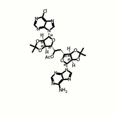 CC(=O)OC(C[C@H]1O[C@@H](n2cnc3c(N)ncnc32)[C@@H]2OC(C)(C)O[C@@H]21)[C@H]1O[C@@H](n2cnc3c(Cl)ncnc32)[C@@H]2OC(C)(C)O[C@@H]21